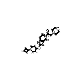 O=C(CN1CCOCC1)N1CCc2nc(OC3CCN(C4CCC4)CC3)sc2C1